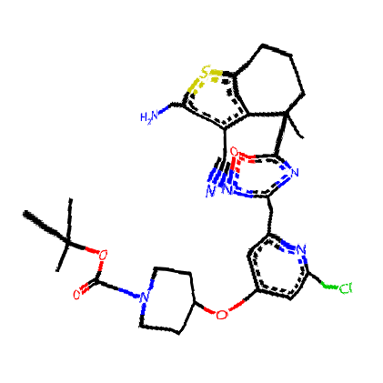 CC(C)(C)OC(=O)N1CCC(Oc2cc(Cl)nc(-c3noc(C4(C)CCCc5sc(N)c(C#N)c54)n3)c2)CC1